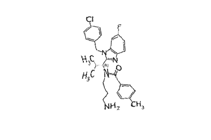 Cc1ccc(C(=O)N(CCCN)[C@@H](c2nc3ccc(F)cc3n2Cc2ccc(Cl)cc2)C(C)C)cc1